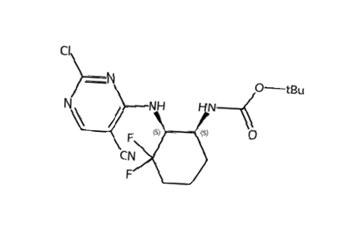 CC(C)(C)OC(=O)N[C@H]1CCCC(F)(F)[C@H]1Nc1nc(Cl)ncc1C#N